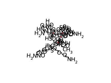 Cc1cn([C@H]2CC(OP(=S)(OCCOCCOCCN)OC[C@H]3O[C@@H](n4ccc(N)nc4=O)CC3C(C)C)[C@@H](COP(=O)(S)OC3C[C@H](n4c(=O)[nH]c5c(=O)[nH]c(N)nc54)O[C@@H]3COP(=O)(S)OC3C[C@H](n4ccc(N)nc4=O)O[C@@H]3COP(=O)(S)OC3C[C@H](n4cc(Br)c(=O)[nH]c4=O)O[C@@H]3CO)O2)c(=O)[nH]c1=O